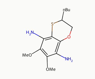 CCCCC1COc2c(N)c(OC)c(OC)c(N)c2S1